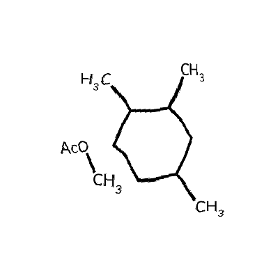 CC1CCC(C)C(C)C1.COC(C)=O